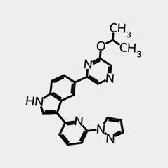 CC(C)Oc1cncc(-c2ccc3[nH]cc(-c4cccc(-n5cccn5)n4)c3c2)n1